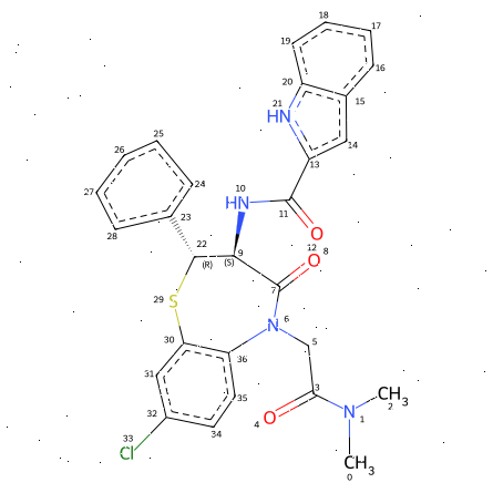 CN(C)C(=O)CN1C(=O)[C@H](NC(=O)c2cc3ccccc3[nH]2)[C@@H](c2ccccc2)Sc2cc(Cl)ccc21